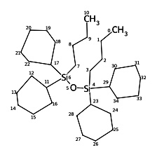 CCCC[Si](O[Si](CCCC)(C1CCCCC1)C1CCCCC1)(C1CCCCC1)C1CCCCC1